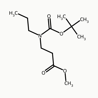 CCCN(CCC(=O)OC)C(=O)OC(C)(C)C